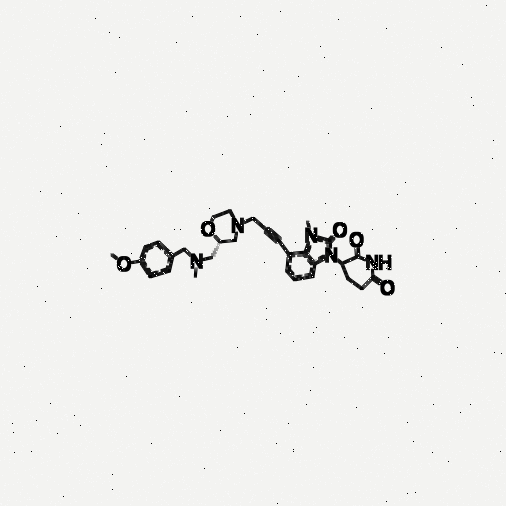 COc1ccc(CN(C)C[C@H]2CN(CC#Cc3cccc4c3n(C)c(=O)n4C3CCC(=O)NC3=O)CCO2)cc1